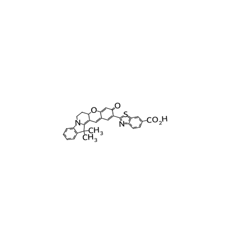 CC1(C)C2=C3C=C4C=C(c5nc6ccc(C(=O)O)cc6s5)C(=O)C=C4OC3CCN2c2ccccc21